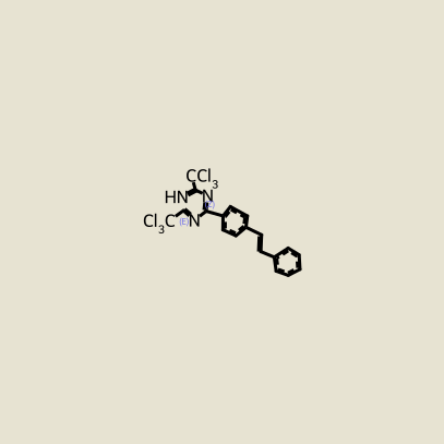 N=C(/N=C(\N=C\C(Cl)(Cl)Cl)c1ccc(C=Cc2ccccc2)cc1)C(Cl)(Cl)Cl